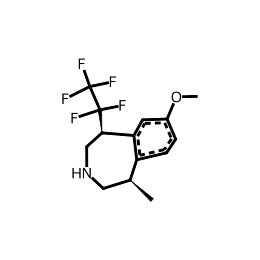 COc1ccc2c(c1)[C@H](C(F)(F)C(F)(F)F)CNC[C@@H]2C